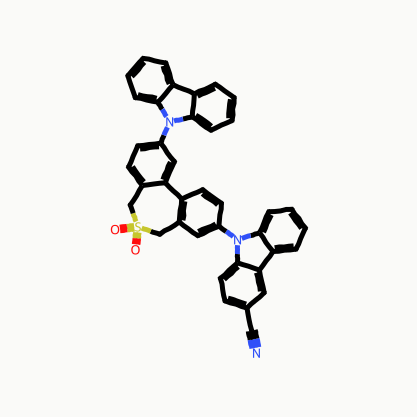 N#Cc1ccc2c(c1)c1ccccc1n2-c1ccc2c(c1)CS(=O)(=O)Cc1ccc(-n3c4ccccc4c4ccccc43)cc1-2